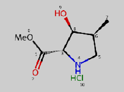 COC(=O)[C@H]1NC[C@H](C)[C@@H]1O.Cl